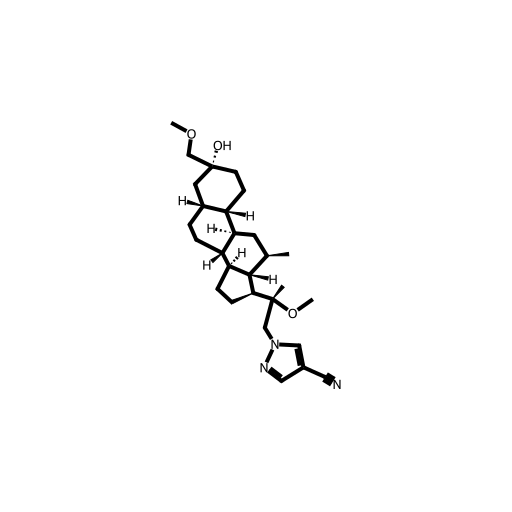 COC[C@@]1(O)CC[C@H]2[C@H](CC[C@@H]3[C@@H]2C[C@@H](C)[C@H]2[C@H]3CC[C@@H]2[C@@](C)(Cn2cc(C#N)cn2)OC)C1